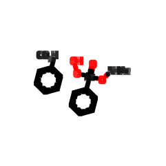 CC(=O)NO[As](=O)(OO)c1ccccc1.O=C(O)c1ccccc1